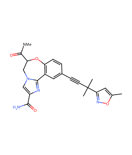 CNC(=O)C1Cn2cc(C(N)=O)nc2-c2cc(C#CC(C)(C)c3cc(C)on3)ccc2O1